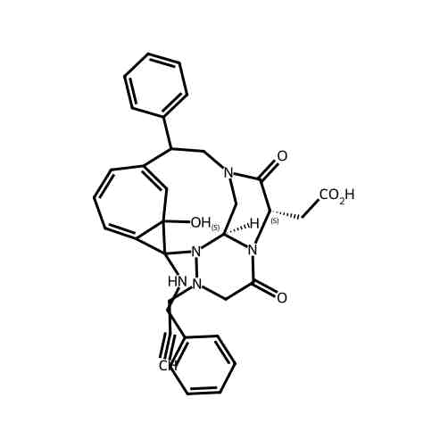 C#CCN1CC(=O)N2[C@@H](CC(=O)O)C(=O)N3CC(c4ccccc4)C4=CC5(O)C(=CC=C4)C5(NCc4ccccc4)N1[C@H]2C3